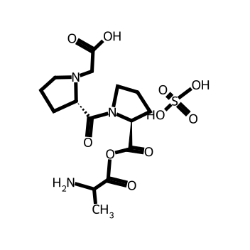 CC(N)C(=O)OC(=O)[C@@H]1CCCN1C(=O)[C@@H]1CCCN1CC(=O)O.O=S(=O)(O)O